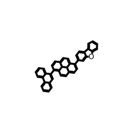 C1=CC2=C(c3cc4ccccc4c4ccccc34)C=CC3=CC=C4C(c5ccc6c(c5)oc5ccccc56)=CC=C1C4C32